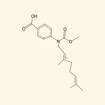 COC(=O)N(C/C=C(\C)CCC=C(C)C)c1ccc(C(=O)O)cc1